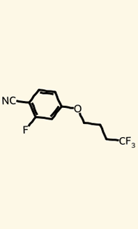 N#Cc1ccc(OCCCC(F)(F)F)cc1F